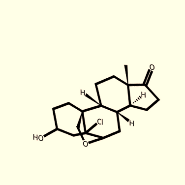 C[C@]12CC[C@@H]3[C@@H](CC4OC[C@@]35CCC(O)CC45Cl)[C@@H]1CCC2=O